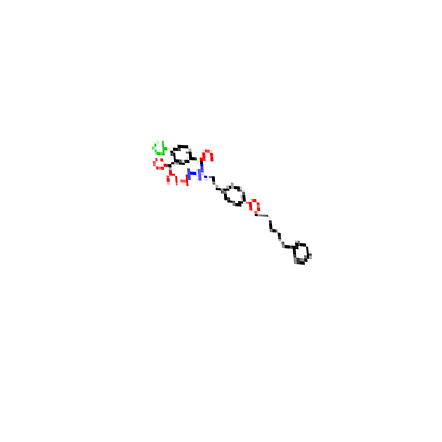 O=C(NCCc1ccc(OCCCCCc2ccccc2)cc1)c1ccc(Cl)c(C(=O)O)c1